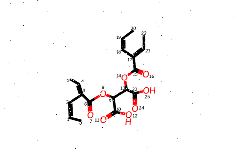 C/C=C\C(=C/C)C(=O)OC(C(=O)O)C(OC(=O)C(/C=C\C)=C/C)C(=O)O